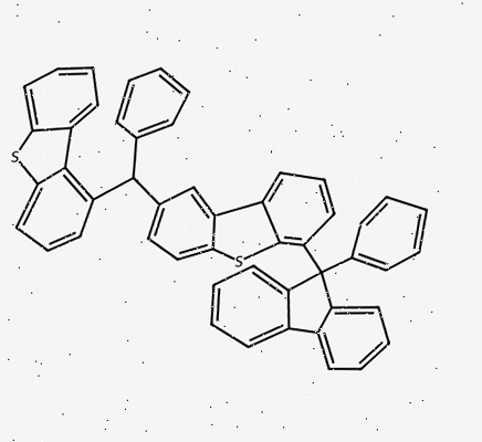 c1ccc(C(c2ccc3sc4c(C5(c6ccccc6)c6ccccc6-c6ccccc65)cccc4c3c2)c2cccc3sc4ccccc4c23)cc1